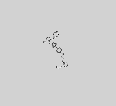 CC1CCCN1CCCOc1ccc(-c2nc(CN3C(=O)CCC3CN3CCOCC3)co2)cc1